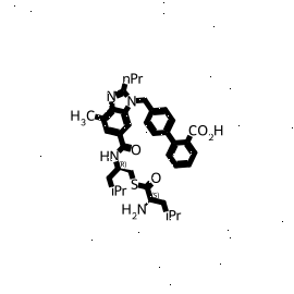 CCCc1nc2c(C)cc(C(=O)N[C@@H](CSC(=O)[C@@H](N)CC(C)C)CC(C)C)cc2n1Cc1ccc(-c2ccccc2C(=O)O)cc1